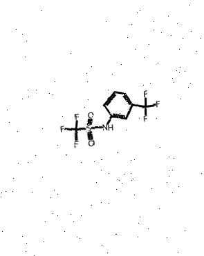 O=S(=O)(Nc1cccc(C(F)(F)F)c1)C(F)(F)F